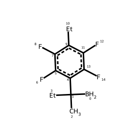 BC(C)(CC)c1c(F)c(F)c(CC)c(F)c1F